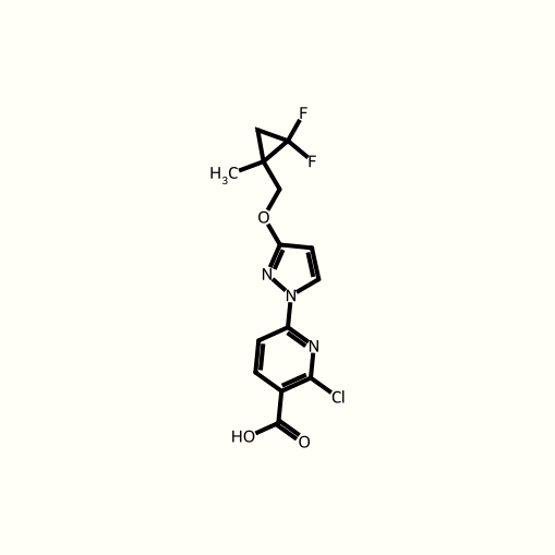 CC1(COc2ccn(-c3ccc(C(=O)O)c(Cl)n3)n2)CC1(F)F